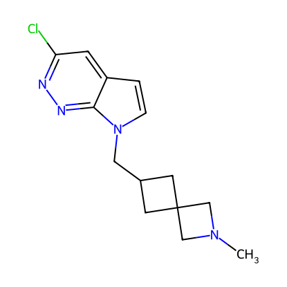 CN1CC2(CC(Cn3ccc4cc(Cl)nnc43)C2)C1